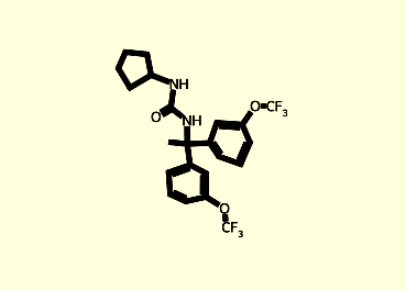 CC(NC(=O)NC1CCCC1)(c1cccc(OC(F)(F)F)c1)c1cccc(OC(F)(F)F)c1